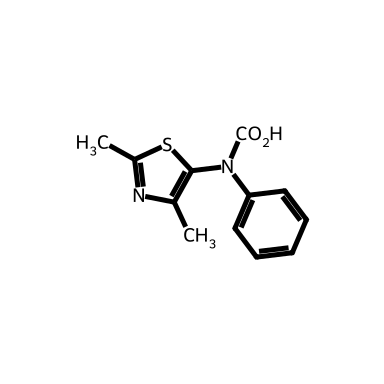 Cc1nc(C)c(N(C(=O)O)c2ccccc2)s1